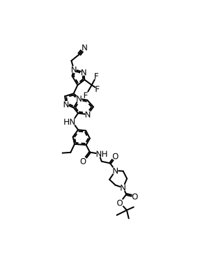 CCc1cc(Nc2nccn3c(-c4cn(CC#N)nc4C(F)(F)F)cnc23)ccc1C(=O)NCC(=O)N1CCN(C(=O)OC(C)(C)C)CC1